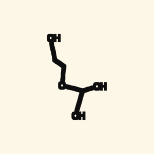 OCCOC(O)O